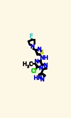 Cc1nc(Nc2cc(CN3CCC(F)CC3)ns2)c2ncc(-c3cn[nH]c3)n2c1Cl